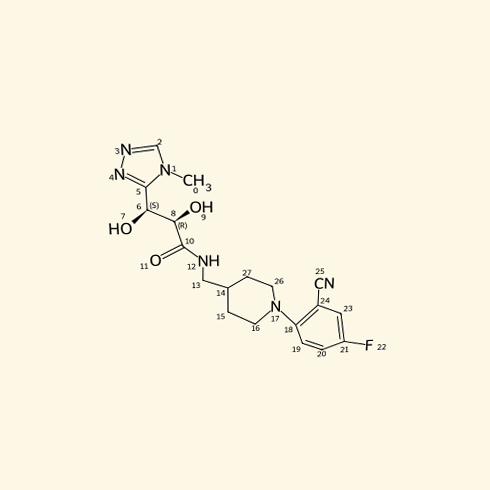 Cn1cnnc1[C@H](O)[C@@H](O)C(=O)NCC1CCN(c2ccc(F)cc2C#N)CC1